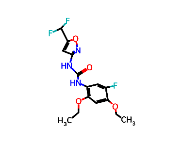 CCOc1cc(OCC)c(NC(=O)Nc2cc(C(F)F)on2)cc1F